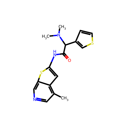 Cc1cncc2sc(NC(=O)C(c3ccsc3)N(C)C)cc12